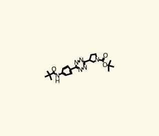 CC(C)(C)OC(=O)N1CCC(c2nnc(-c3ccc(NC(=O)C(C)(C)C)cc3)nn2)C1